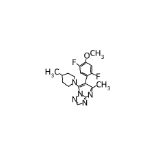 COc1cc(F)c(-c2c(C)nc3ncnn3c2N2CCC(C)CC2)cc1F